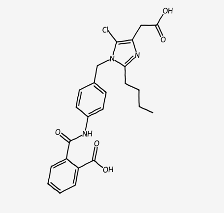 CCCCc1nc(CC(=O)O)c(Cl)n1Cc1ccc(NC(=O)c2ccccc2C(=O)O)cc1